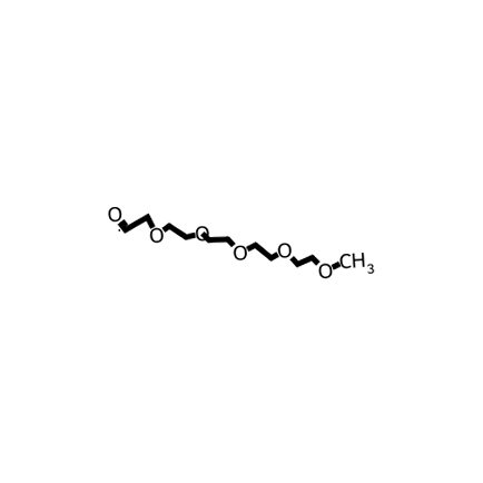 COCCOCCOCCOCCOC[C]=O